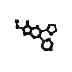 CCOc1nc2cc(-c3ccncn3)c(C3=CCCO3)nc2[nH]1